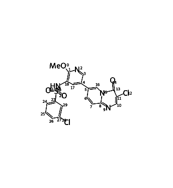 COc1ncc(-c2ccc3ncc(Cl)c(=O)n3c2)cc1NS(=O)(=O)c1cccc(Cl)c1